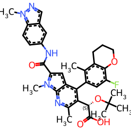 Cc1nc2c(cc(C(=O)Nc3ccc4c(cnn4C)c3)n2C)c(-c2cc(F)c3c(c2C)CCCO3)c1[C@H](OC(C)(C)C)C(=O)O